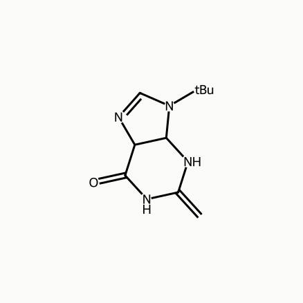 C=C1NC(=O)C2N=CN(C(C)(C)C)C2N1